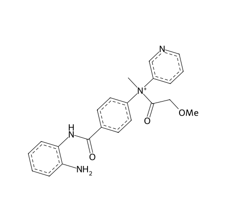 COCC(=O)[N+](C)(c1ccc(C(=O)Nc2ccccc2N)cc1)c1cccnc1